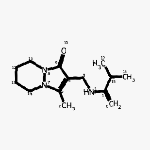 C=C(NCc1c(C)n2n(c1=O)CCCC2)C(C)C